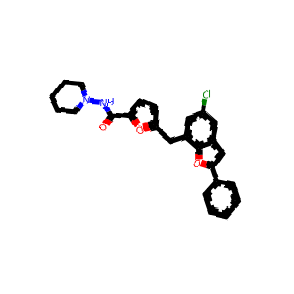 O=C(NN1CCCCC1)c1ccc(Cc2cc(Cl)cc3cc(-c4ccccc4)oc23)o1